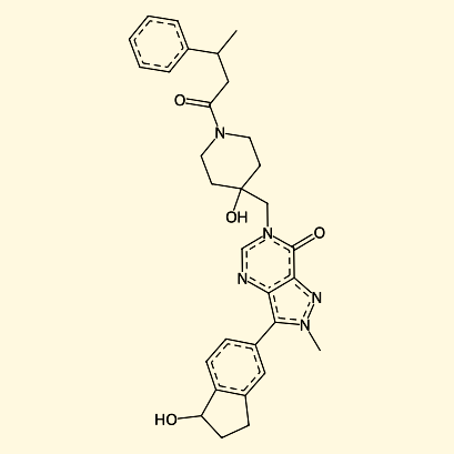 CC(CC(=O)N1CCC(O)(Cn2cnc3c(-c4ccc5c(c4)CCC5O)n(C)nc3c2=O)CC1)c1ccccc1